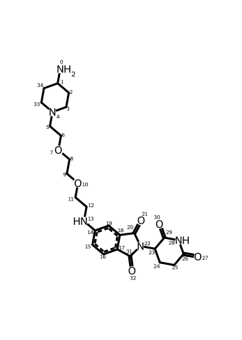 NC1CCN(CCOCCOCCNc2ccc3c(c2)C(=O)N(C2CCC(=O)NC2=O)C3=O)CC1